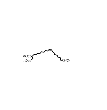 CCCCCCCCCCCC(CCCCCCCC)CCCCCCCC/C=C\CCCCCCC[C]=O